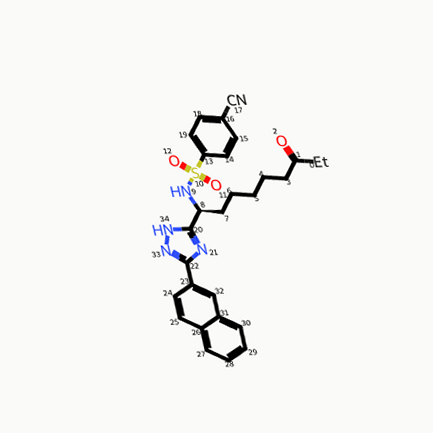 CCC(=O)CCCCC[C@H](NS(=O)(=O)c1ccc(C#N)cc1)c1nc(-c2ccc3ccccc3c2)n[nH]1